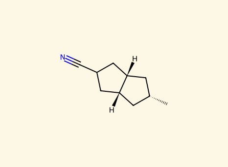 C[C@H]1C[C@H]2CC(C#N)C[C@H]2C1